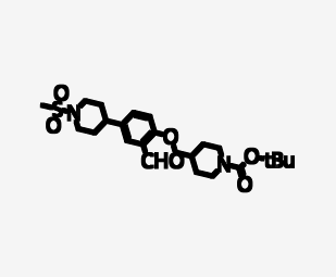 CC(C)(C)OC(=O)N1CCC(COc2ccc(C3CCN(S(C)(=O)=O)CC3)cc2C=O)CC1